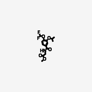 COC(=O)CNC(=O)c1ccc(OC(F)F)c(OC(C)C)c1